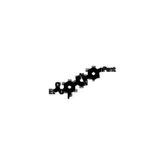 CCCCCc1ccc(-c2ncc(-c3ccc(OC(=O)CC)c(F)c3)cn2)cc1